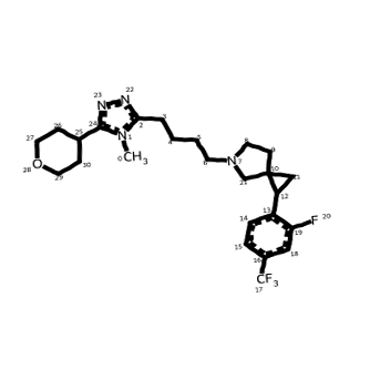 Cn1c(CCCCN2CCC3(CC3c3ccc(C(F)(F)F)cc3F)C2)nnc1C1CCOCC1